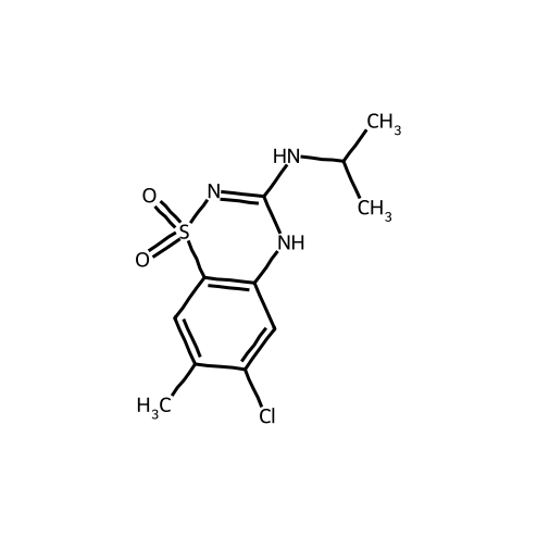 Cc1cc2c(cc1Cl)NC(NC(C)C)=NS2(=O)=O